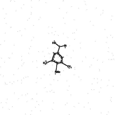 CCC(O)c1cc(C)c(NC)c(C)c1